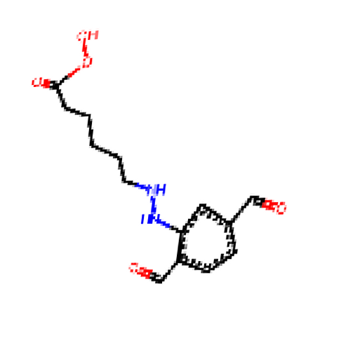 O=Cc1ccc(C=O)c(NNCCCCCC(=O)OO)c1